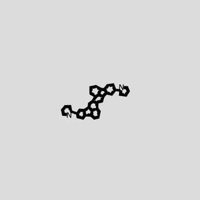 c1ccc(-c2ccc3c(c2)c2cc4c(cc5c6cc(-c7ccccn7)ccc6c6cccc4c65)c4cccc3c42)nc1